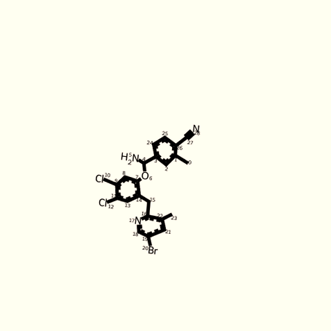 Cc1cc(C(N)Oc2cc(Cl)c(Cl)cc2Cc2ncc(Br)cc2C)ccc1C#N